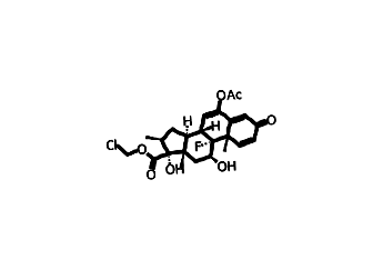 CC(=O)OC1=C[C@H]2[C@@H]3C[C@H](C)[C@](O)(C(=O)OCCl)[C@@]3(C)C[C@H](O)[C@]2(F)[C@@]2(C)C=CC(=O)C=C12